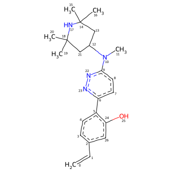 C=Cc1ccc(-c2ccc(N(C)C3CC(C)(C)NC(C)(C)C3)nn2)c(O)c1